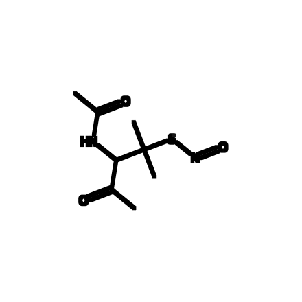 CC(=O)NC(C(C)=O)C(C)(C)SN=O